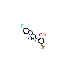 Cn1c(/C=C/c2cc(Br)ccc2O)cc2cc(F)ccc21